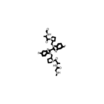 CNCC(=O)NC(C)C(=O)N1CCCC1Cn1c(-c2nc3cc(F)ccc3n2CC2CCCN2C(=O)C(C)NC=O)nc2cc(F)ccc21